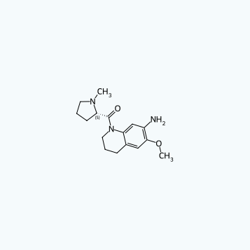 COc1cc2c(cc1N)N(C(=O)[C@@H]1CCCN1C)CCC2